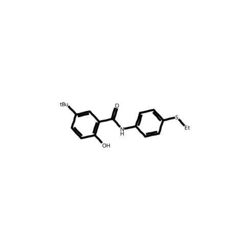 CCSc1ccc(NC(=O)c2cc(C(C)(C)C)ccc2O)cc1